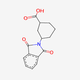 O=C(O)C1CCCC(N2C(=O)c3ccccc3C2=O)C1